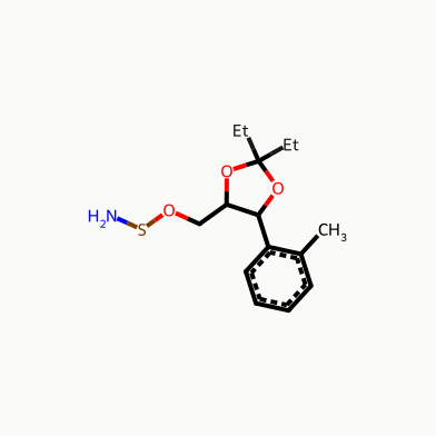 CCC1(CC)OC(COSN)C(c2ccccc2C)O1